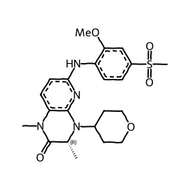 COc1cc(S(C)(=O)=O)ccc1Nc1ccc2c(n1)N(C1CCOCC1)[C@H](C)C(=O)N2C